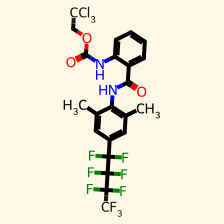 Cc1cc(C(F)(F)C(F)(F)C(F)(F)C(F)(F)F)cc(C)c1NC(=O)c1ccccc1NC(=O)OCC(Cl)(Cl)Cl